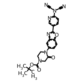 CC(C)(C)OC(=O)N1CCN(c2ccc3oc(-c4ccc(N(C#N)C#N)nc4)nc3c2)C(=O)C1